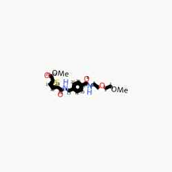 COCCOCCNC(=O)c1ccc(CNC(=O)c2ccc(C(=O)OC)s2)cc1